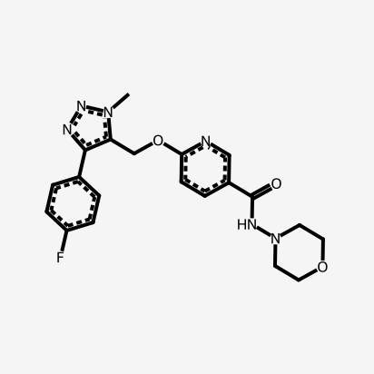 Cn1nnc(-c2ccc(F)cc2)c1COc1ccc(C(=O)NN2CCOCC2)cn1